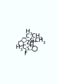 CC[SiH](CC)[Zr+2]([CH]1C(C)=Cc2ccccc21)[CH]1C(C)=Cc2ccccc21.[I-].[I-]